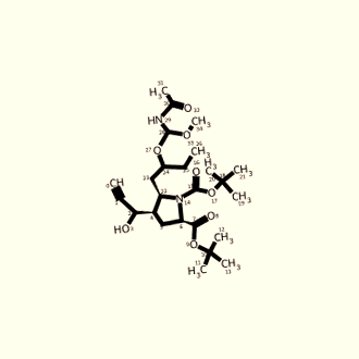 C#CC(O)[C@@H]1C[C@H](C(=O)OC(C)(C)C)N(C(=O)OC(C)(C)C)[C@@H]1CC(CC)OC(NC(C)=O)OC